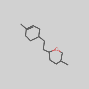 CC1=CCC(CCC2CCC(C)CO2)CC1